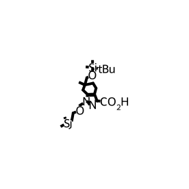 CC1(CO[Si](C)(C)C(C)(C)C)CCc2c(C(=O)O)nn(COCC[Si](C)(C)C)c2C1